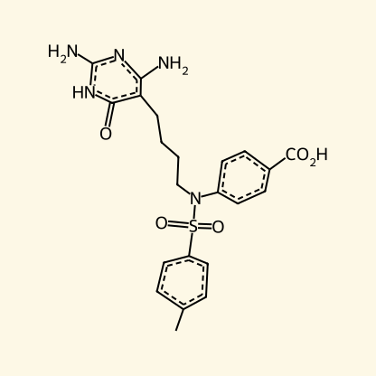 Cc1ccc(S(=O)(=O)N(CCCCc2c(N)nc(N)[nH]c2=O)c2ccc(C(=O)O)cc2)cc1